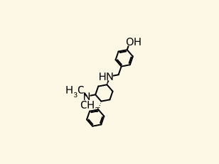 CN(C)C1C[C@@H](NCc2ccc(O)cc2)CC[C@@H]1c1ccccc1